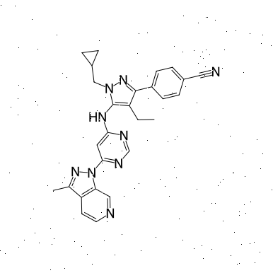 CCc1c(-c2ccc(C#N)cc2)nn(CC2CC2)c1Nc1cc(-n2nc(C)c3ccncc32)ncn1